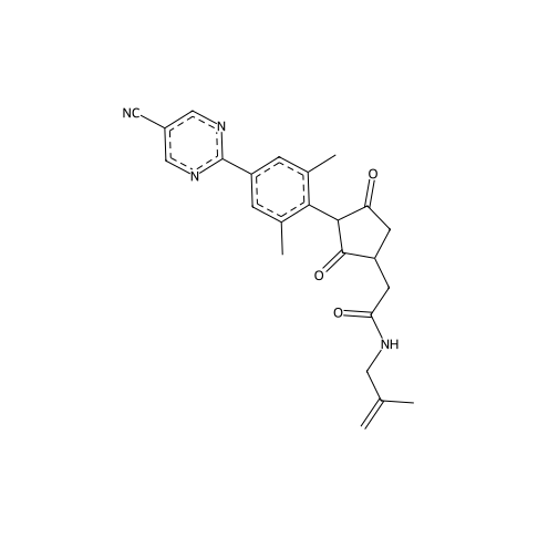 C=C(C)CNC(=O)CC1CC(=O)C(c2c(C)cc(-c3ncc(C#N)cn3)cc2C)C1=O